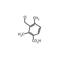 Cc1ccc(C(=O)O)c(C)c1CCl